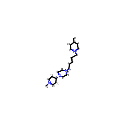 CC1CCN(CCCCCN2CCN(C3CCN(C)CC3)CC2)CC1